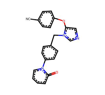 N#Cc1ccc(Oc2cncn2Cc2ccc(-n3ccccc3=O)cc2)cc1